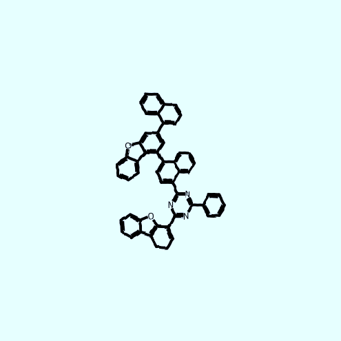 C1=C(c2nc(-c3ccccc3)nc(-c3ccc(-c4cc(-c5cccc6ccccc56)cc5oc6ccccc6c45)c4ccccc34)n2)c2oc3ccccc3c2CC1